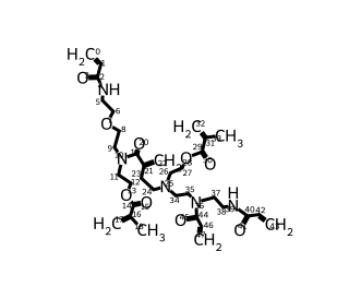 C=CC(=O)NCCOCCN(CCOC(=O)C(=C)C)C(=O)C(=C)CCN(CCOC(=O)C(=C)C)CCN(CCNC(=O)C=C)C(=O)C=C